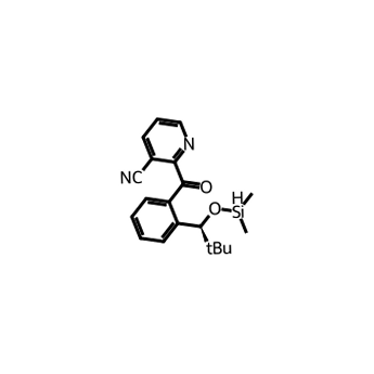 C[SiH](C)O[C@H](c1ccccc1C(=O)c1ncccc1C#N)C(C)(C)C